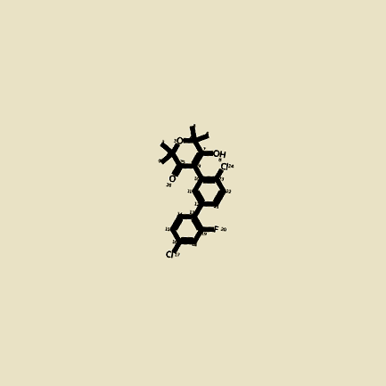 CC1(C)OC(C)(C)C(O)=C(c2cc(-c3ccc(Cl)cc3F)ccc2Cl)C1=O